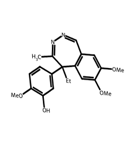 CCC1(c2ccc(OC)c(O)c2)C(C)=NN=Cc2cc(OC)c(OC)cc21